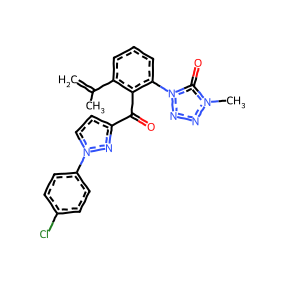 C=C(C)c1cccc(-n2nnn(C)c2=O)c1C(=O)c1ccn(-c2ccc(Cl)cc2)n1